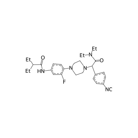 [C-]#[N+]c1ccc(C(C(=O)N(CC)CC)N2CCN(c3ccc(NC(=O)C(CC)CC)cc3F)CC2)cc1